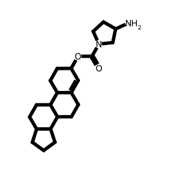 NC1CCN(C(=O)OC2C=C3CCC4C5CCCC5CCC4C3CC2)C1